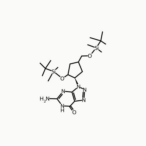 CC(C)(C)[Si](C)(C)OCC1CC(O[Si](C)(C)C(C)(C)C)[C@H](n2nnc3c(=O)[nH]c(N)nc32)C1